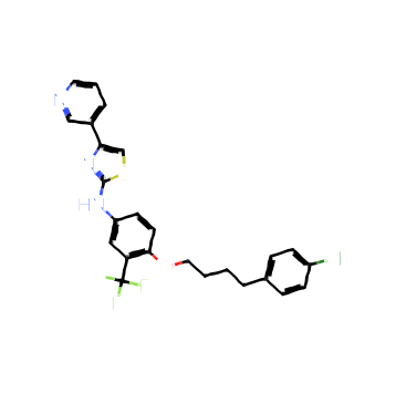 FC(F)(F)c1cc(Nc2nc(-c3cccnc3)cs2)ccc1OCCCCc1ccc(Cl)cc1